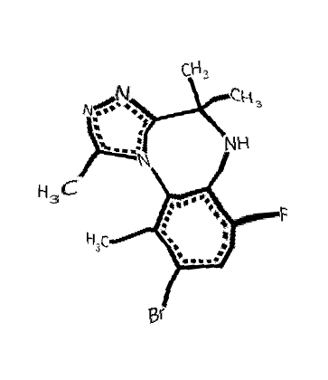 Cc1c(Br)cc(F)c2c1-n1c(C)nnc1C(C)(C)N2